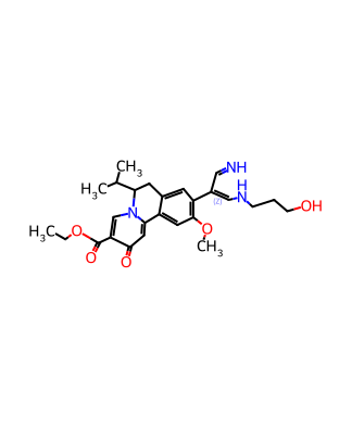 CCOC(=O)c1cn2c(cc1=O)-c1cc(OC)c(/C(C=N)=C/NCCCO)cc1CC2C(C)C